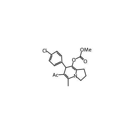 COC(=O)OC1=C2CCCN2C(C)=C(C(C)=O)C1c1ccc(Cl)cc1